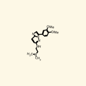 COc1ccc(-c2cnc3ccc(NCCN(C)C)nn23)cc1OC